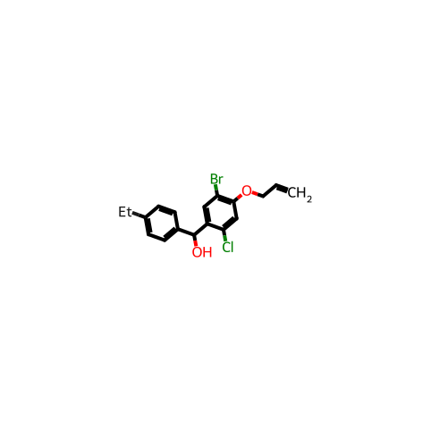 C=CCOc1cc(Cl)c(C(O)c2ccc(CC)cc2)cc1Br